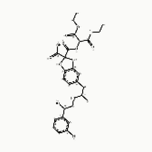 CCOC(=O)C(OC(=O)C1(C(=O)O)Oc2ccc(CC(C)NCC(O)c3cccc(Cl)c3)cc2O1)C(=O)OCC